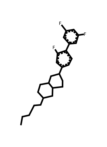 CCCCCC1CCC2CC(c3ccc(-c4cc(F)cc(F)c4)c(F)c3)CCC2C1